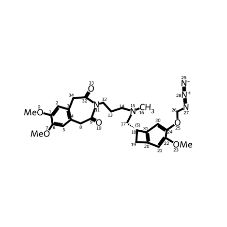 COc1cc2c(cc1OC)CC(=O)N(CCCN(C)C[C@H]1Cc3cc(OC)c(OCN=[N+]=[N-])cc31)C(=O)C2